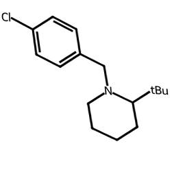 CC(C)(C)C1CCCCN1Cc1ccc(Cl)cc1